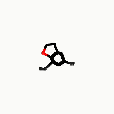 CSc1cc(C(C)C)cc2c1OCC2